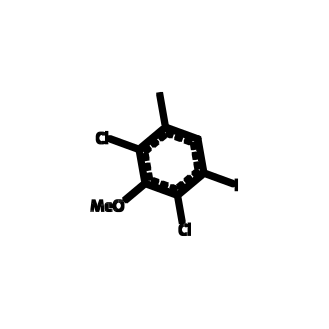 COc1c(Cl)c(C)cc(I)c1Cl